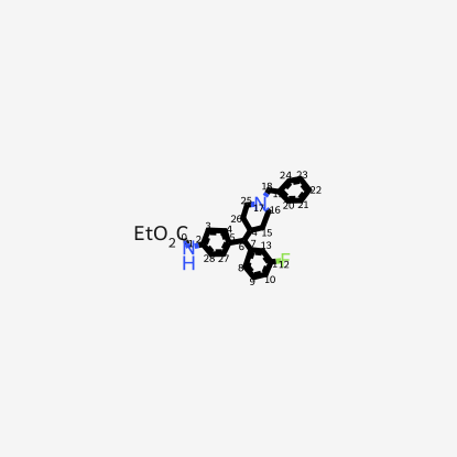 CCOC(=O)Nc1ccc(C(c2cccc(F)c2)C2CCN(Cc3ccccc3)CC2)cc1